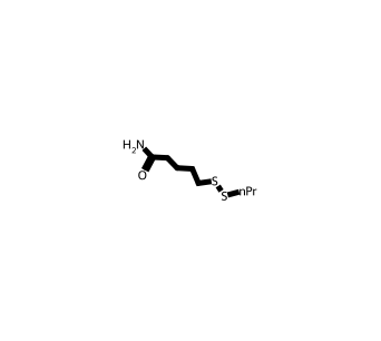 CCCSSCCCCC(N)=O